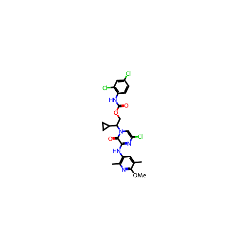 COc1nc(C)c(Nc2nc(Cl)cn(C(COC(=O)Nc3ccc(Cl)cc3Cl)C3CC3)c2=O)cc1C